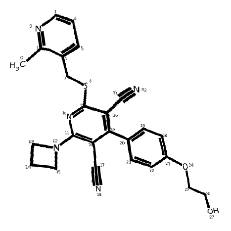 Cc1ncccc1CSc1nc(N2CCC2)c(C#N)c(-c2ccc(OCCO)cc2)c1C#N